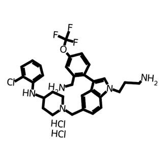 Cl.Cl.NCCCn1cc(-c2ccc(OC(F)(F)F)cc2CN)c2cc(CN3CCC(Nc4ccccc4Cl)CC3)ccc21